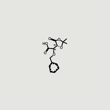 CC1(C)OC(=O)[C@@H]([C@@H](OCc2ccccc2)C(=O)O)O1